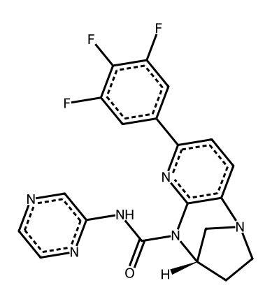 O=C(Nc1cnccn1)N1c2nc(-c3cc(F)c(F)c(F)c3)ccc2N2CC[C@H]1C2